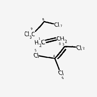 C=C.ClC=C(Cl)Cl.ClCC(Cl)(Cl)Cl